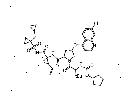 C=CC1CC1(NC(=O)C1CC(Oc2ccnc3cc(Cl)ccc23)CN1C(=O)C(NC(=O)OC1CCCC1)C(C)(C)C)C(=O)NS(=O)(=O)C1(CC2CC2)CC1